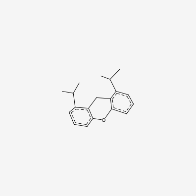 CC(C)c1cccc2c1Cc1c(cccc1C(C)C)O2